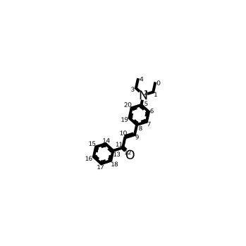 CCN(CC)c1ccc(C=CC(=O)c2ccccc2)cc1